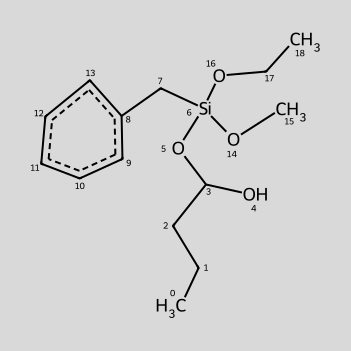 CCCC(O)O[Si](Cc1ccccc1)(OC)OCC